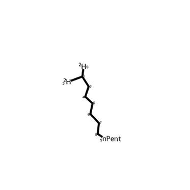 [2H]C([2H])CCCCCCCCCCC